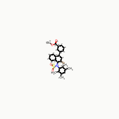 Cc1cc(C)c(C)c(N(c2c(Br)cc(-c3cccc(C(=O)OC(C)(C)C)c3)c3ccccc23)[SH](=O)=O)c1C